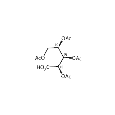 CC(=O)OC[C@@H](OC(C)=O)[C@@H](OC(C)=O)[C@@H](OC(C)=O)C(=O)O